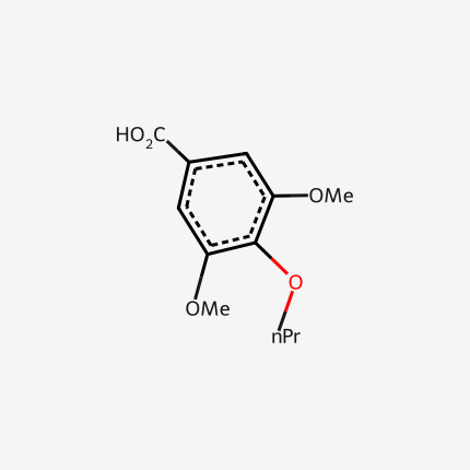 CCCOc1c(OC)cc(C(=O)O)cc1OC